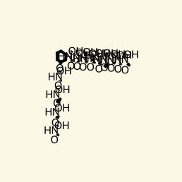 O=C1CCCCC1.O=CNO.O=CNO.O=CNO.O=CNO.O=CNO.O=CNO.O=CNO.O=CNO.O=CNO.O=CNO.O=CNO.O=CNO.O=CNO